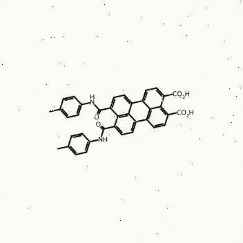 Cc1ccc(NC(=O)c2ccc3c4ccc(C(=O)O)c5c(C(=O)O)ccc(c6ccc(C(=O)Nc7ccc(C)cc7)c2c36)c54)cc1